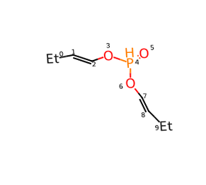 CCC=CO[PH](=O)OC=CCC